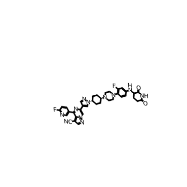 N#Cc1cnn2cc(-c3cnn([C@H]4CC[C@H](N5CCN(c6ccc(NC7CCC(=O)NC7=O)cc6F)CC5)CC4)c3)nc(-c3ccc(F)nc3)c12